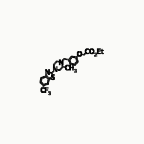 CCOC(=O)COc1cccc(CN2CCN(c3nc4ccc(C(F)(F)F)cc4s3)CC2C)c1